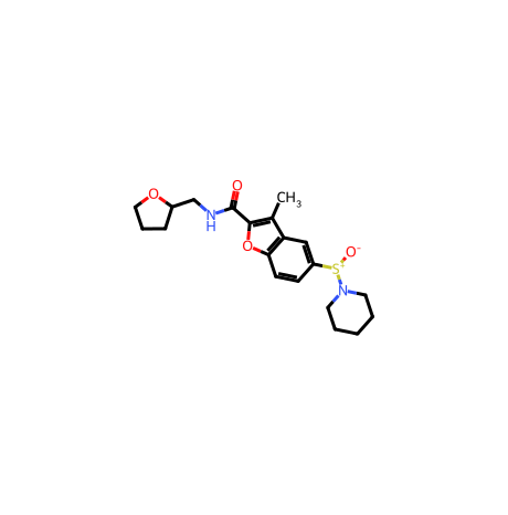 Cc1c(C(=O)NCC2CCCO2)oc2ccc([S+]([O-])N3CCCCC3)cc12